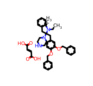 CCN(CC)C(Cc1ccccc1)(Cc1ccc(OCc2ccccc2)c(OCc2ccccc2)c1)N1CCNCC1.O=C(O)C=CC(=O)O